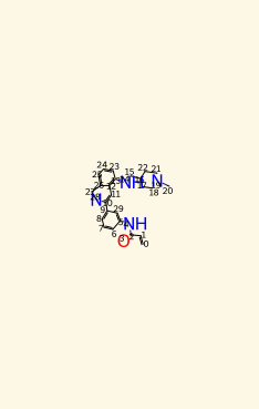 C=CC(=O)Nc1cccc(-c2cc3c(NCC4CCN(C)CC4)cccc3cn2)c1